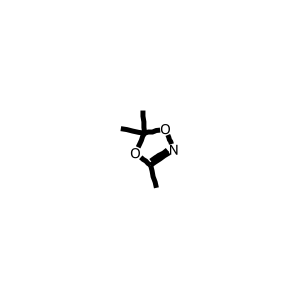 CC1=NOC(C)(C)O1